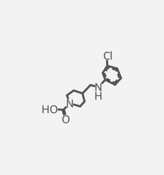 O=C(O)N1CCC(CNc2cccc(Cl)c2)CC1